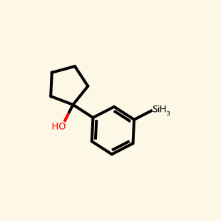 OC1(c2cccc([SiH3])c2)CCCC1